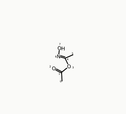 CC(=O)OC(C)=NO